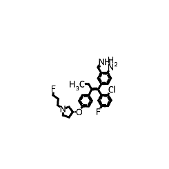 CC/C(=C(\c1ccc(N)c(C=N)c1)c1cc(F)ccc1Cl)c1ccc(O[C@H]2CCN(CCCF)C2)cc1